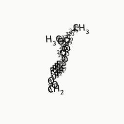 C=CC(=O)OCCC(F)(F)C(F)(F)C(F)(F)C(F)(F)CCOc1ccc2cc(-c3ccc(CCCCC)cc3OC)oc2c1